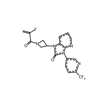 C=C(F)C(=O)N1CC(n2c(=O)n(-c3ccc(C(F)(F)F)nc3)c3ncccc32)C1